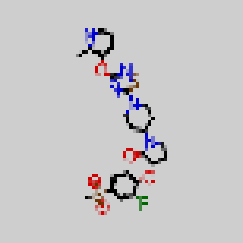 Cc1ncccc1Oc1nsc(N2CCC(N3CC[C@H](Oc4ccc(S(C)(=O)=O)cc4F)C3=O)CC2)n1